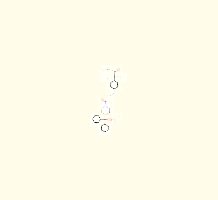 COC(=O)C(C)(C)c1ccc(CCCC(=O)N2CCC(C(O)(c3ccccc3)c3ccccc3)CC2)cc1